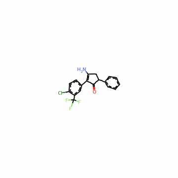 NC1=C(c2ccc(Cl)c(C(F)(F)F)c2)C(=O)C(c2ccccc2)C1